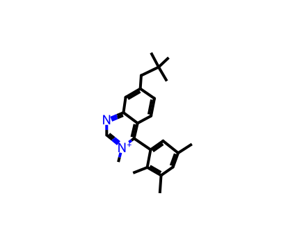 Cc1cc(C)c(C)c(-c2c3ccc(CC(C)(C)C)cc3nc[n+]2C)c1